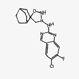 Fc1cc2nc(NN3CC4(CC5CCC4CC5)ON3)ncc2cc1Cl